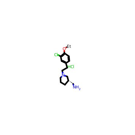 CCOc1ccc(CCN2CCC[C@@H](CN)C2)cc1Cl.Cl